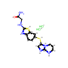 Cl.Cl.NC(=O)CNc1nc2ccc(Sc3cnc4ncccn34)cc2s1